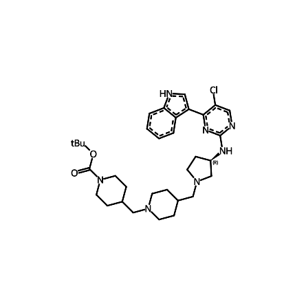 CC(C)(C)OC(=O)N1CCC(CN2CCC(CN3CC[C@@H](Nc4ncc(Cl)c(-c5c[nH]c6ccccc56)n4)C3)CC2)CC1